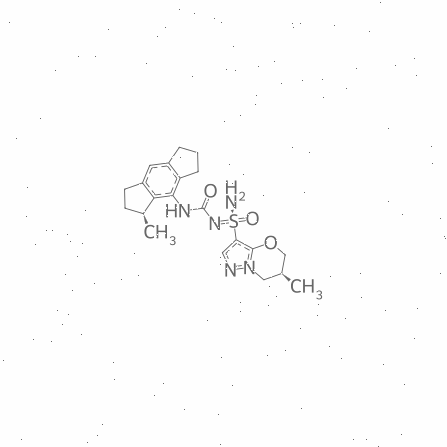 C[C@@H]1COc2c([S@@](N)(=O)=NC(=O)Nc3c4c(cc5c3[C@@H](C)CC5)CCC4)cnn2C1